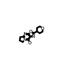 O=c1c2nc(C3CCOCC3)oc2nc2n1CCC2